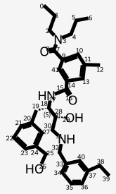 CCCN(CCC)C(=O)c1cc(C)cc(C(=O)N[C@@H](Cc2cccc(CO)c2)[C@H](O)CNCc2cccc(CC)c2)c1